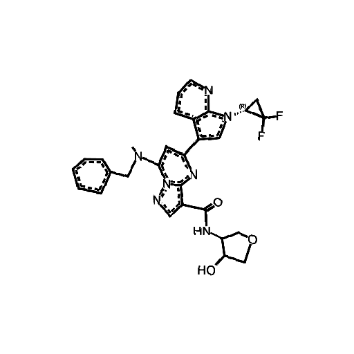 CN(Cc1ccccc1)c1cc(-c2cn([C@@H]3CC3(F)F)c3ncccc23)nc2c(C(=O)NC3COCC3O)cnn12